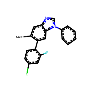 COc1cc2ncn(-c3ccccc3)c2cc1-c1ccc(Cl)cc1F